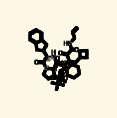 C=CCNC(=O)C(=O)C(CC1CCC1)NC(=O)C1C(C(C)(C)C)CCN1C(=O)[C@@H](NC(=O)NC1(CS(=O)(=O)C(C)(C)C)CCCCC1)C1Cc2ccccc2C1